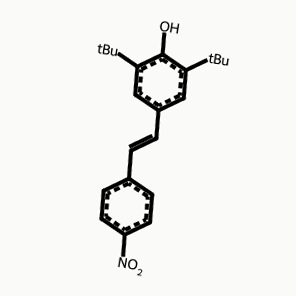 CC(C)(C)c1cc(C=Cc2ccc([N+](=O)[O-])cc2)cc(C(C)(C)C)c1O